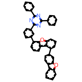 c1ccc(-c2nc(-c3ccccc3)nc(-c3cccc(-c4cccc5c4oc4cccc(-c6ccc7c(c6)oc6ccccc67)c45)c3)n2)cc1